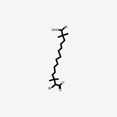 CC(C)(CCCCCCCCCCC(C)(C)C(Br)C(=O)Cl)C(Br)C=O